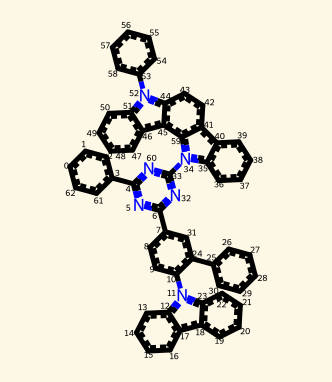 c1ccc(-c2nc(-c3ccc(-n4c5ccccc5c5ccccc54)c(-c4ccccc4)c3)nc(-n3c4ccccc4c4ccc5c(c6ccccc6n5-c5ccccc5)c43)n2)cc1